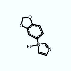 CC[N+]1(c2ccc3c(c2)OCO3)C=CN=C1